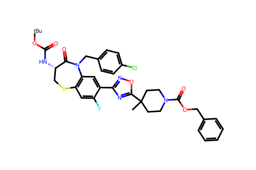 CC(C)(C)OC(=O)N[C@H]1CSc2cc(F)c(-c3noc(C4(C)CCN(C(=O)OCc5ccccc5)CC4)n3)cc2N(Cc2ccc(Cl)cc2)C1=O